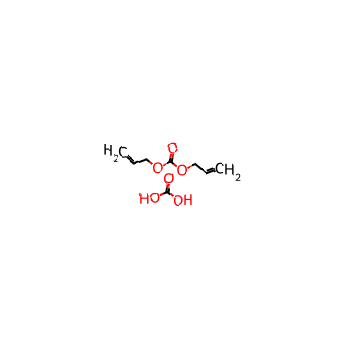 C=CCOC(=O)OCC=C.O=C(O)O